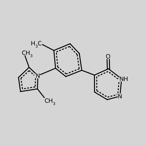 Cc1ccc(-c2ccn[nH]c2=O)cc1-n1c(C)ccc1C